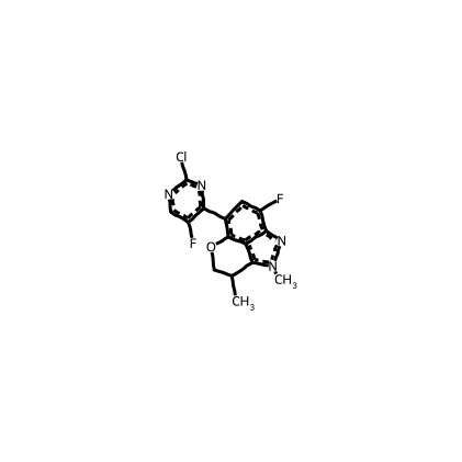 CC1COc2c(-c3nc(Cl)ncc3F)cc(F)c3nn(C)c1c23